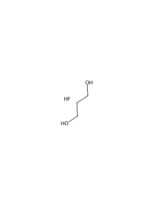 F.OCCCO